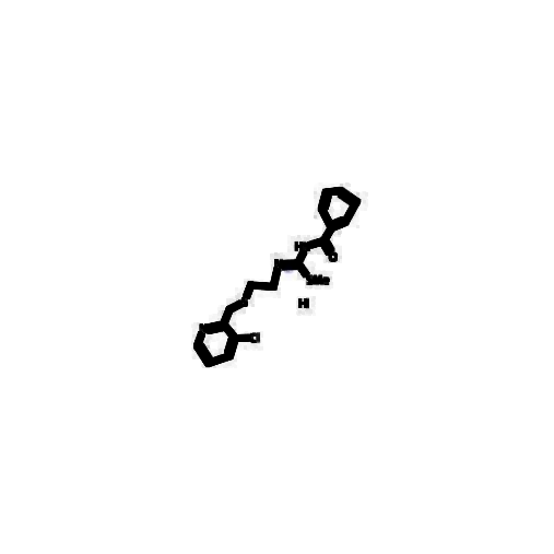 CS/C(=N\CCSCc1ncccc1Cl)NC(=O)c1ccccc1.I